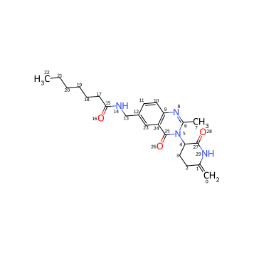 C=C1CCC(n2c(C)nc3ccc(CNC(=O)CCCCCC)cc3c2=O)C(=O)N1